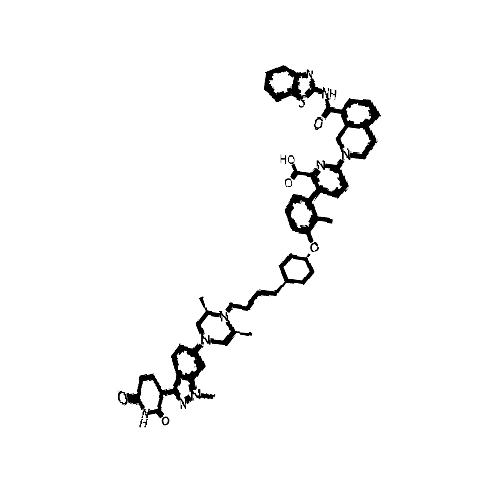 Cc1c(O[C@H]2CC[C@H](CCCCN3[C@H](C)CN(c4ccc5c(C6CCC(=O)NC6=O)nn(C)c5c4)C[C@@H]3C)CC2)cccc1-c1ccc(N2CCc3cccc(C(=O)Nc4nc5ccccc5s4)c3C2)nc1C(=O)O